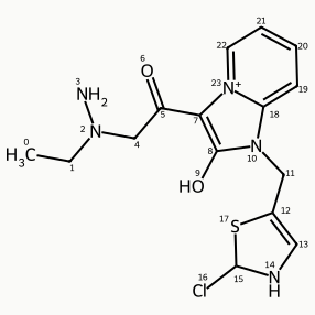 CCN(N)CC(=O)c1c(O)n(CC2=CNC(Cl)S2)c2cccc[n+]12